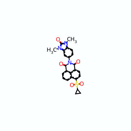 Cn1c(=O)n(C)c2cc(N3C(=O)c4cccc5c(S(=O)(=O)C6CC6)ccc(c45)C3=O)ccc21